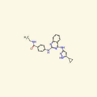 CCNC(=O)c1ccc(Nc2nc(Nc3cc(C4CC4)[nH]n3)c3ccccc3n2)cc1